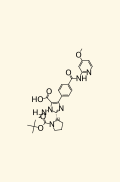 COc1ccnc(NC(=O)c2ccc(-c3nc([C@@H]4CCCN4C(=O)OC(C)(C)C)n(N)c3C(=O)O)cc2)c1